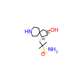 CC(C)(C[C@H]1C[C@H](O)CC12CCNCC2)[S+](N)[O-]